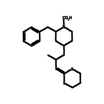 CC(C=C1SCCCS1)CC1CCN(C(=O)O)C(Cc2ccccc2)C1